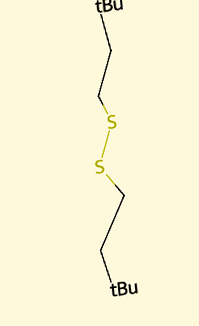 CC(C)(C)CCSSCCC(C)(C)C